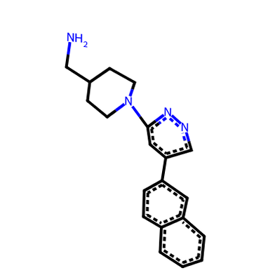 NCC1CCN(c2cc(-c3ccc4ccccc4c3)cnn2)CC1